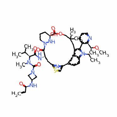 C=CC(=O)NC1CN(C(=O)N(C)[C@H](C(=O)N[C@H]2Cc3nc(cs3)-c3ccc4c(c3)c(c(-c3cccnc3[C@H](C)OC)n4CC)CC(C)(C)COC(=O)[C@@]3(O)CCCN(N3)C2=O)C(C)C)C1